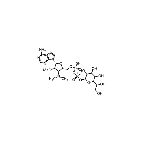 CO[C@@H]1[C@H](N(C)C)[C@@H](COP(=O)(S)OP(=O)(O)OC2OC([C@@H](O)CO)C(O)C(O)C2O)O[C@H]1c1csc2c(N)ncnc12